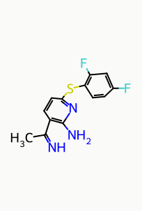 CC(=N)c1ccc(Sc2ccc(F)cc2F)nc1N